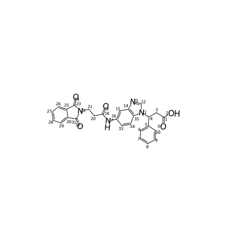 O=C(O)CC(c1ccccc1)n1cnc2cc(NC(=O)CCN3C(=O)c4ccccc4C3=O)ccc21